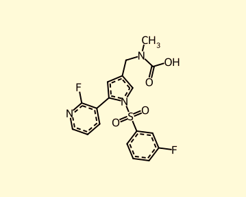 CN(Cc1cc(-c2cccnc2F)n(S(=O)(=O)c2cccc(F)c2)c1)C(=O)O